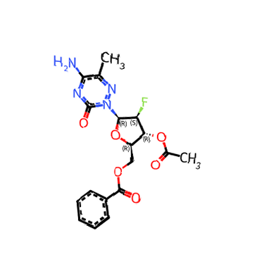 CC(=O)O[C@H]1[C@H](F)[C@H](n2nc(C)c(N)nc2=O)O[C@@H]1COC(=O)c1ccccc1